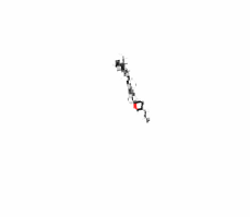 CCCCc1ccc(OCCOCCOCC(F)(F)C(C)=O)cc1